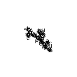 CC1(C)CCC(CCN2CCN(c3ccc(C(=O)NS(=O)(=O)c4cc5c(c([N+](=O)[O-])c4)N[C@H](C4CCOCC4)CO5)c(N4CCCOc5nc6[nH]ccc6cc54)c3)CC2)=C(c2ccc(Cl)cc2)C1